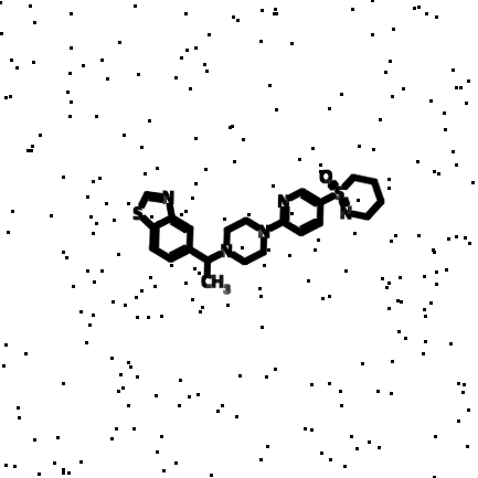 CC(c1ccc2scnc2c1)N1CCN(c2ccc(S3(=O)=NCCCC3)cn2)CC1